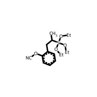 CCO[Si](OCC)(OCC)C(C)Cc1ccccc1OC#N